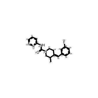 CC1CN(C(=O)Nc2cccnn2)CC/C1=C\c1cccc(F)c1